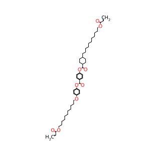 C=CC(=O)OCCCCCCCCCCCOc1ccc(OC(=O)c2ccc(OC(=O)C3CCC(CCCCCCCCCCCOC(=O)C=C)CC3)cc2)cc1